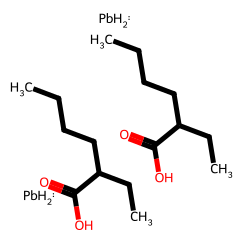 CCCCC(CC)C(=O)O.CCCCC(CC)C(=O)O.[PbH2].[PbH2]